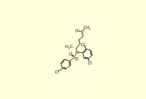 C[C@H](CCC[S+](C)[O-])N(c1cc(Cl)ccc1Cl)S(=O)(=O)c1ccc(Cl)cc1